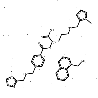 Cn1cccc1CNCCC[C@H](NC(=O)c1ccc(CNCc2ncc[nH]2)cc1)C(=O)O.NCc1cccc2ccccc12